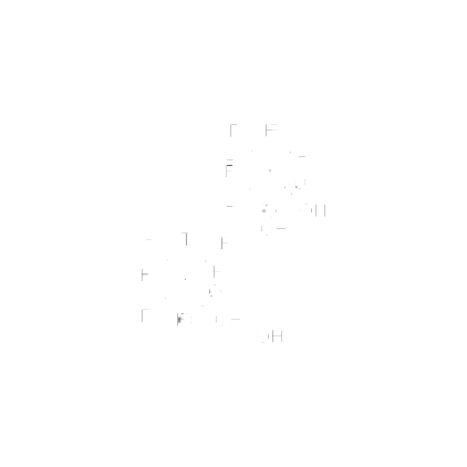 O=S(=O)(O)C(C(F)(F)F)(C(F)(F)F)C(F)(F)F.O=S(=O)(O)C(C(F)(F)F)(C(F)(F)F)C(F)(F)F.Oc1ccc(O)cc1